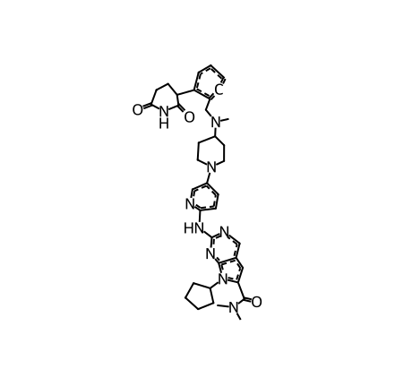 CN(C)C(=O)c1cc2cnc(Nc3ccc(N4CCC(N(C)Cc5ccccc5C5CCC(=O)NC5=O)CC4)cn3)nc2n1C1CCCC1